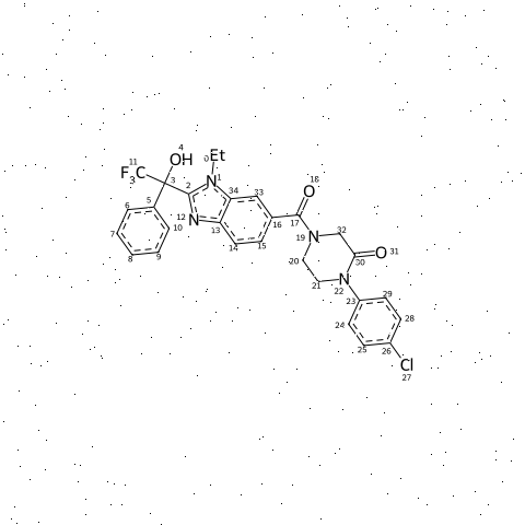 CCn1c(C(O)(c2ccccc2)C(F)(F)F)nc2ccc(C(=O)N3CCN(c4ccc(Cl)cc4)C(=O)C3)cc21